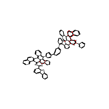 c1ccc(-c2nc(-c3c(-c4c5ccccc5c(-c5ccc(-c6cccc(-c7cccc8sc9c(-c%10nc(-c%11ccccc%11)nc(-c%11c(-c%12c(-c%13ccccc%13-c%13ccccc%13)ccc%13ccccc%12%13)ccc%12ccccc%11%12)n%10)cccc9c78)c6)cc5)c5ccccc45)ccc4ccccc34)nc(-c3cccc4c3sc3ccccc34)n2)cc1